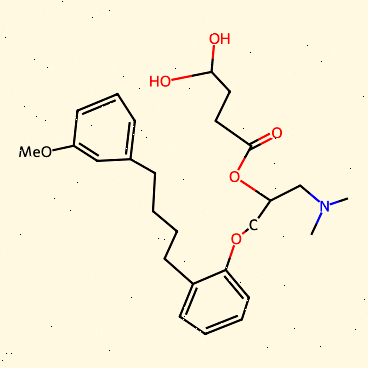 COc1cccc(CCCCc2ccccc2OCC(CN(C)C)OC(=O)CCC(O)O)c1